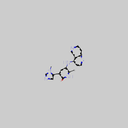 CC(C)c1[nH]c(=O)c(-c2cncn2C)cc1Nc1ccnc2ccncc12